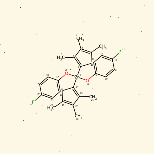 CC1=C(C)C(C)=[C]([Zr]([O]c2ccc(F)cc2)([O]c2ccc(F)cc2)[C]2=C(C)C(C)=C(C)C2)C1